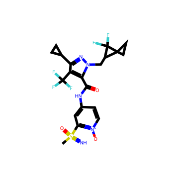 CS(=N)(=O)c1cc(NC(=O)c2c(C(F)(F)F)c(C3CC3)nn2CC2C(F)(F)C23CC3)cc[n+]1[O-]